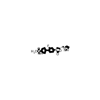 CS(=N)(=O)c1ccc(-c2ccc(N3C[C@H](Cn4ccnn4)OC3=O)cc2F)cc1